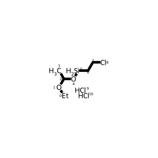 CCOC(C)O[SiH2]CCCl.Cl.Cl